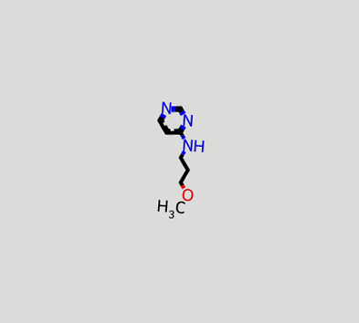 COCCCNc1ccncn1